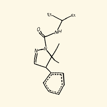 CCC(CC)NC(=O)N1N=CC(c2ccccc2)C1(C)C